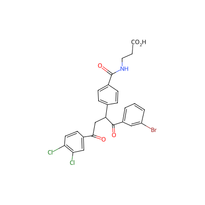 O=C(O)CCNC(=O)c1ccc(C(CC(=O)c2ccc(Cl)c(Cl)c2)C(=O)c2cccc(Br)c2)cc1